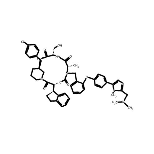 C[C@H]1C(=O)N[C@@H](CO)C(=O)NC2(Cc3ccc(Cl)cc3)CCCN(C2)C(=O)[C@@H]([C@@H]2CCc3ccccc32)CC(=O)N1Cc1ccccc1Oc1ccc(-c2cnc(CN(C)C)n2C)cc1